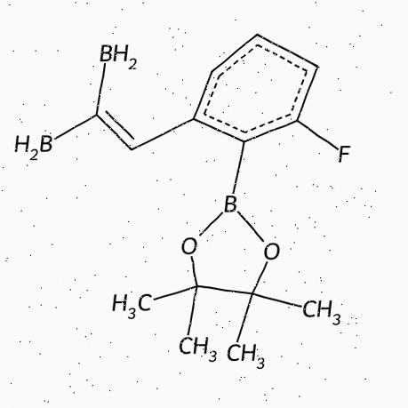 BC(B)=Cc1cccc(F)c1B1OC(C)(C)C(C)(C)O1